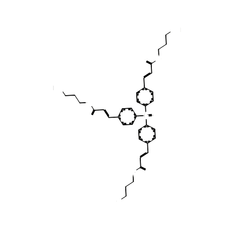 CCCCOC(=O)C=Cc1ccc(P(=O)(c2ccc(C=CC(=O)OCCCC)cc2)c2ccc(C=CC(=O)OCCCC)cc2)cc1